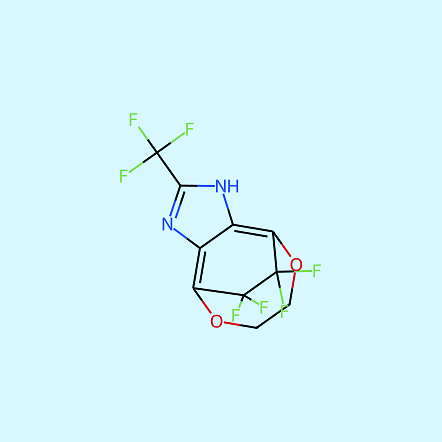 FC(F)(F)c1nc2c([nH]1)=C1OCCOC=2C(F)(F)C1(F)F